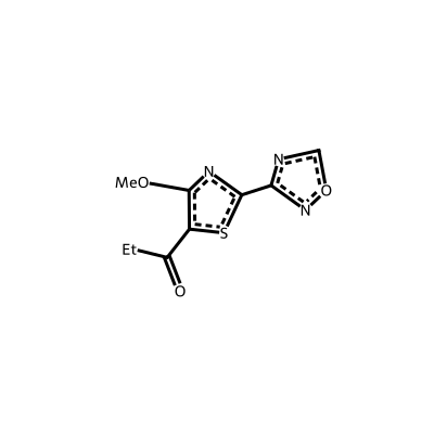 CCC(=O)c1sc(-c2ncon2)nc1OC